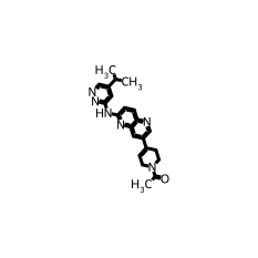 CC(=O)N1CC=C(c2cnc3ccc(Nc4cc(C(C)C)cnn4)nc3c2)CC1